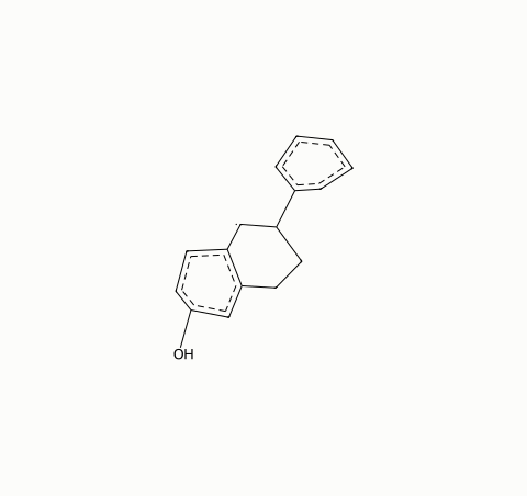 Oc1ccc2c(c1)CCC(c1ccccc1)[CH]2